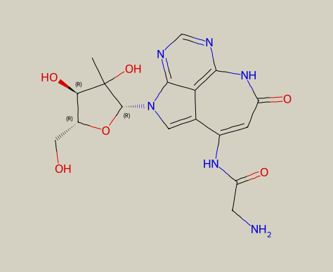 CC1(O)[C@H](O)[C@@H](CO)O[C@H]1n1cc2c3c(ncnc31)NC(=O)C=C2NC(=O)CN